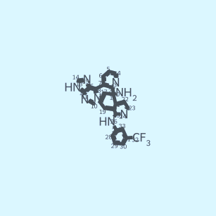 NC1(c2ncccc2-c2ncnc3[nH]cnc23)C=CC=C2C1=CC=NC2Nc1cccc(C(F)(F)F)c1